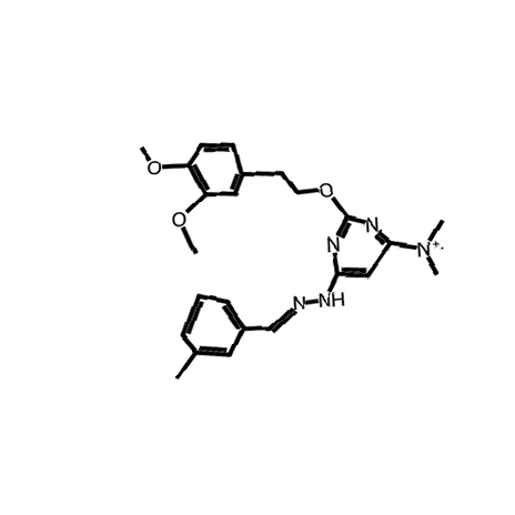 COc1ccc(CCOc2nc(NN=Cc3cccc(C)c3)cc([N+](C)C)n2)cc1OC